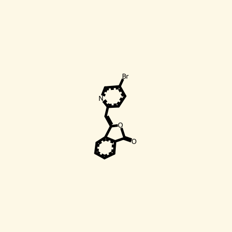 O=C1O/C(=C\c2ccc(Br)cn2)c2ccccc21